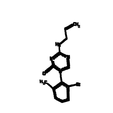 C=CCNc1ncn(-c2c(C)cccc2CC)c(=O)n1